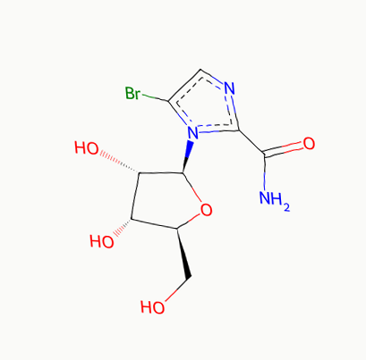 NC(=O)c1ncc(Br)n1[C@H]1O[C@@H](CO)[C@H](O)[C@@H]1O